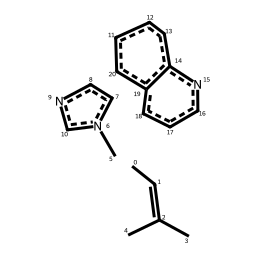 CC=C(C)C.Cn1ccnc1.c1ccc2ncccc2c1